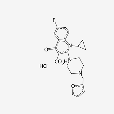 Cl.O=C(O)c1c(N2CCN(Cc3ccco3)CC2)n(C2CC2)c2ccc(F)cc2c1=O